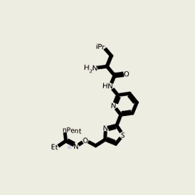 CCCCC/C(CC)=N\OCc1csc(-c2cccc(NC(=O)C(N)CC(C)C)n2)n1